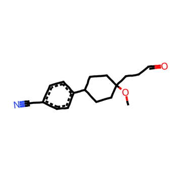 COC1(CCC=O)CCC(c2ccc(C#N)cc2)CC1